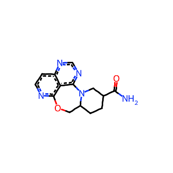 NC(=O)C1CCC2COc3nccc4ncnc(c34)N2C1